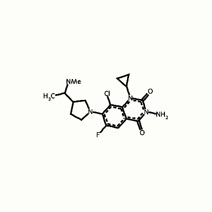 CNC(C)C1CCN(c2c(F)cc3c(=O)n(N)c(=O)n(C4CC4)c3c2Cl)C1